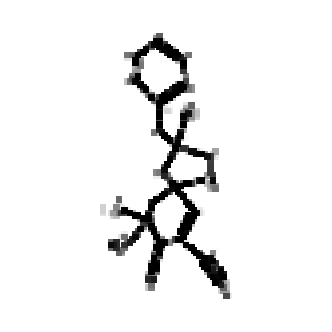 CC1(C)CC2(C=C(C#N)C1=O)CC(O)(Cc1ccccc1)CO2